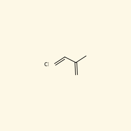 C=CC(=C)C.[C]